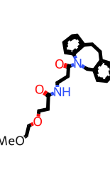 COCCOCCC(=O)NCCC(=O)N1Cc2ccccc2CCc2ccccc21